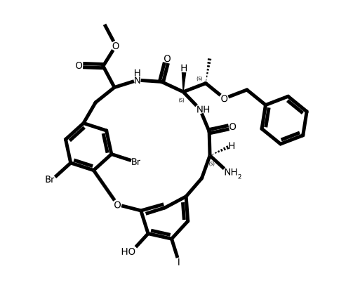 COC(=O)C1Cc2cc(Br)c(c(Br)c2)Oc2cc(cc(I)c2O)C[C@H](N)C(=O)N[C@@H]([C@H](C)OCc2ccccc2)C(=O)N1